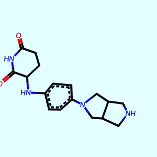 O=C1CCC(Nc2ccc(N3CC4CNCC4C3)cc2)C(=O)N1